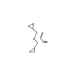 C(OCC1CO1)C1CO1.C=COCC(C)C